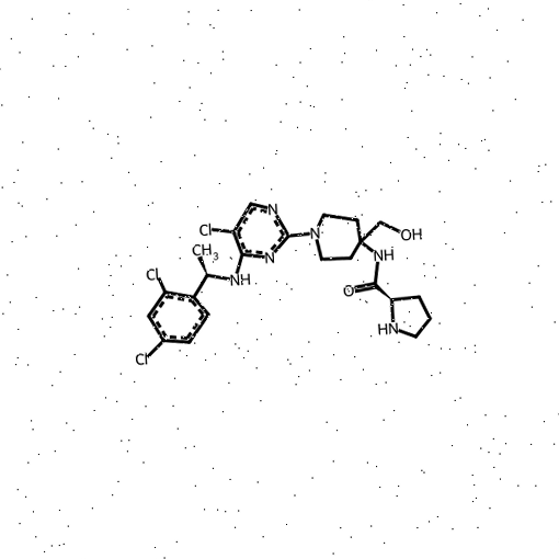 C[C@@H](Nc1nc(N2CCC(CO)(NC(=O)[C@H]3CCCN3)CC2)ncc1Cl)c1ccc(Cl)cc1Cl